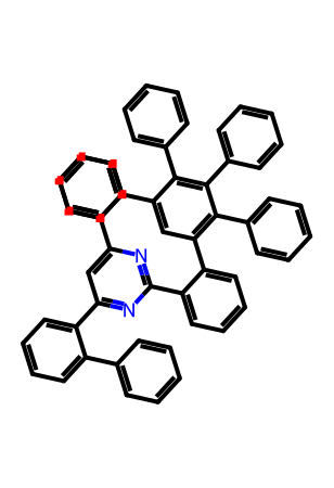 c1ccc(-c2cc(-c3ccccc3-c3ccccc3)nc(-c3ccccc3-c3cc(-c4ccccc4)c(-c4ccccc4)c(-c4ccccc4)c3-c3ccccc3)n2)cc1